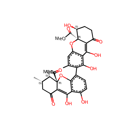 COC(=O)[C@@]12Oc3cc(C)c(-c4ccc(O)c5c4O[C@]4(C(=O)OC)C(=C5O)C(=O)C[C@H](C)[C@@H]4OC(C)=O)c(O)c3C(O)=C1C(=O)CC[C@@H]2O